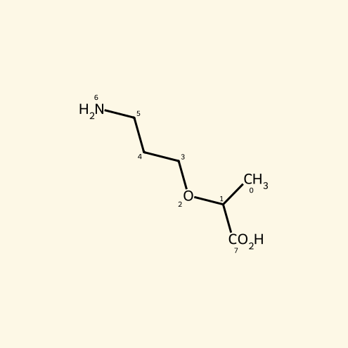 CC(OCCCN)C(=O)O